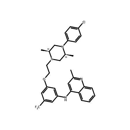 Cc1cc(Nc2cc(OCCN3C[C@H](C)N(c4ccc(Cl)cc4)C[C@@H]3C)cc(C(F)(F)F)c2)c2ccccc2n1